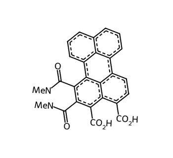 CNC(=O)c1c(C(=O)O)c2c(C(=O)O)ccc3c4cccc5cccc(c(c1C(=O)NC)c23)c54